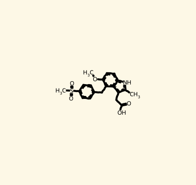 COc1ccc2[nH]c(C)c(CC(=O)O)c2c1Cc1ccc(S(C)(=O)=O)cc1